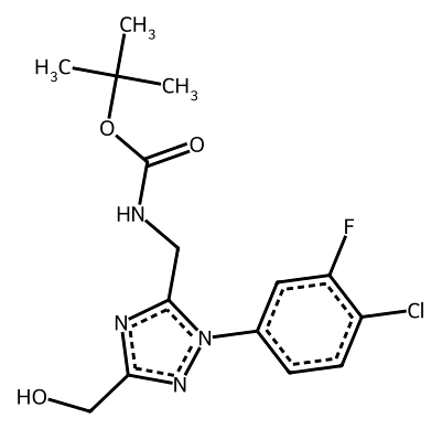 CC(C)(C)OC(=O)NCc1nc(CO)nn1-c1ccc(Cl)c(F)c1